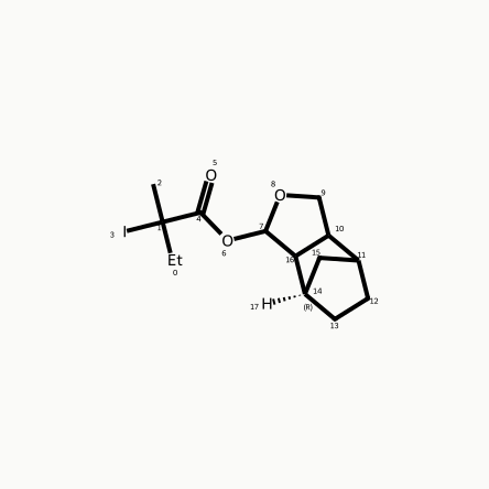 CCC(C)(I)C(=O)OC1OCC2C3CC[C@H](C3)C12